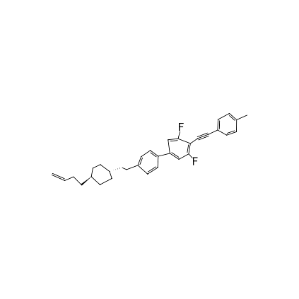 C=CCC[C@H]1CC[C@H](CCc2ccc(-c3cc(F)c(C#Cc4ccc(C)cc4)c(F)c3)cc2)CC1